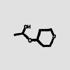 CC(O)OC1CCOCC1